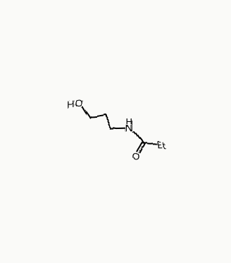 [CH2]CC(=O)NCCCO